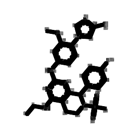 CCNc1nc(Nc2ccc(-n3cnc(Cl)c3)c(OC)c2)nc2c1CCN(S(C)(=O)=O)C2c1ccc(F)cc1